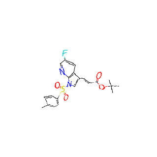 Cc1ccc(S(=O)(=O)n2cc(/C=C/C(=O)OC(C)(C)C)c3cc(F)cnc32)cc1